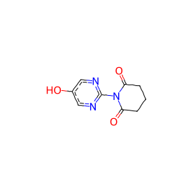 O=C1CCCC(=O)N1c1ncc(O)cn1